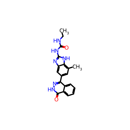 CCNC(=O)Nc1nc2cc(-c3n[nH]c(=O)c4ccccc34)cc(C)c2[nH]1